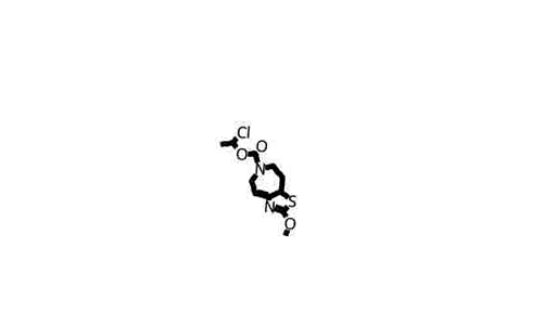 COC1=NC2=CCN(C(=O)OC(C)Cl)CCC2S1